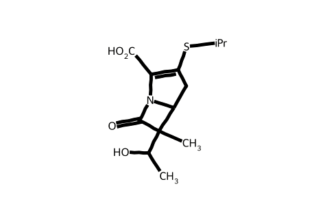 CC(C)SC1=C(C(=O)O)N2C(=O)C(C)(C(C)O)C2C1